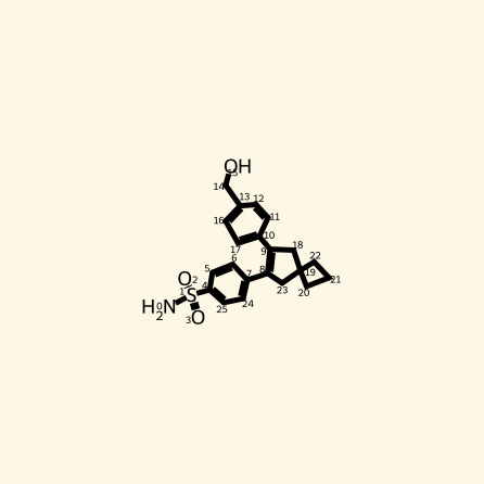 NS(=O)(=O)c1ccc(C2=C(c3ccc(CO)cc3)CC3(CCC3)C2)cc1